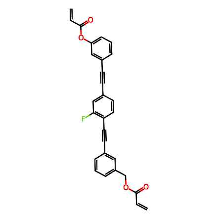 C=CC(=O)OCc1cccc(C#Cc2ccc(C#Cc3cccc(OC(=O)C=C)c3)cc2F)c1